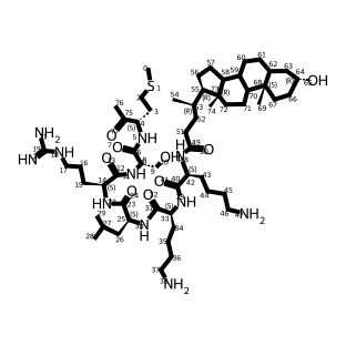 CSCC[C@H](NC(=O)[C@H](CO)NC(=O)[C@H](CCCNC(=N)N)NC(=O)[C@H](CC(C)C)NC(=O)[C@H](CCCCN)NC(=O)[C@H](CCCCN)NC(=O)CC[C@@H](C)[C@H]1CCC2C3CCC4C[C@H](O)CC[C@]4(C)C3CC[C@@]21C)C(C)=O